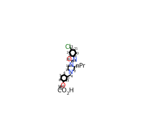 CCC[C@@H]1CN(Cc2cccc(OCC(=O)O)c2)CCN1c1nc2ccc(Cl)cc2o1